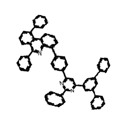 c1ccc(-c2cc(-c3ccccc3)cc(-c3cc(-c4ccc(-c5cccc6c5nc(-c5ccccc5)c5cccc(-c7ccccc7)c56)cc4)nc(-c4ccccc4)n3)c2)cc1